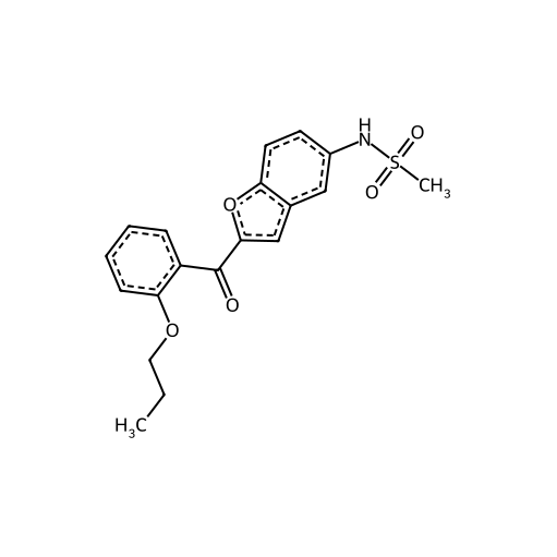 CCCOc1ccccc1C(=O)c1cc2cc(NS(C)(=O)=O)ccc2o1